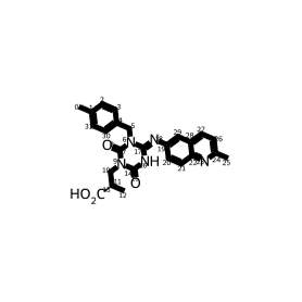 Cc1ccc(Cn2c(=O)n(C[C@H](C)C(=O)O)c(=O)[nH]/c2=N\c2ccc3nc(C)ccc3c2)cc1